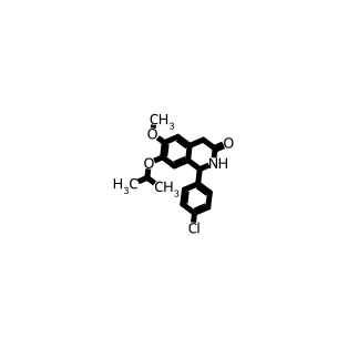 COc1cc2c(cc1OC(C)C)C(c1ccc(Cl)cc1)NC(=O)C2